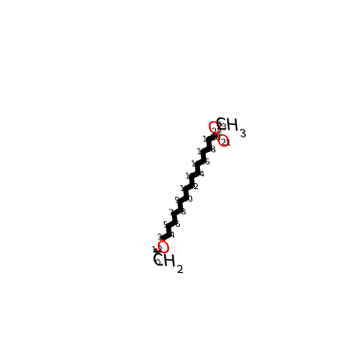 C=COCCCCCCCCCCCCCCCCCC(=O)OC